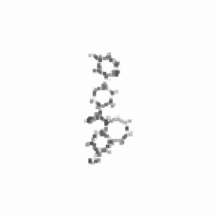 Cc1ccnc(N2CCC(C(=O)N3CCCCc4cc(Cl)ccc43)CC2)c1